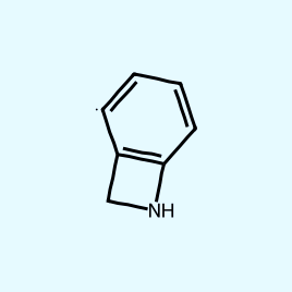 [c]1cccc2c1CN2